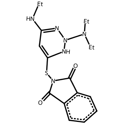 CCNC1=NN(N(CC)CC)NC(SN2C(=O)c3ccccc3C2=O)=C1